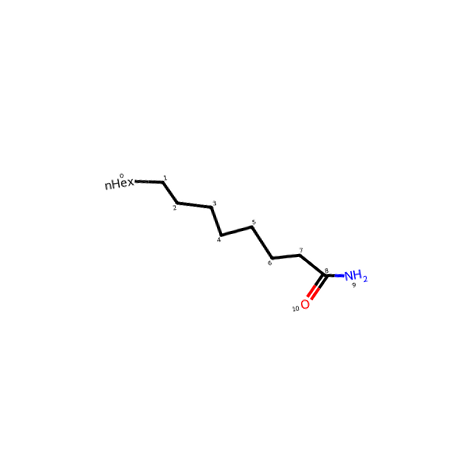 [CH2]CCCCCCCCCCCCC(N)=O